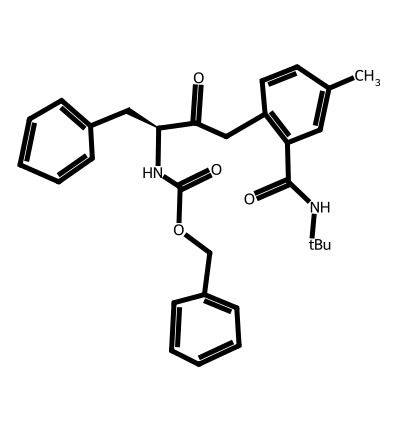 Cc1ccc(CC(=O)[C@H](Cc2ccccc2)NC(=O)OCc2ccccc2)c(C(=O)NC(C)(C)C)c1